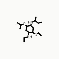 CCNC1CC(OC(C)C)C(NC(C)CC)CC1OCC